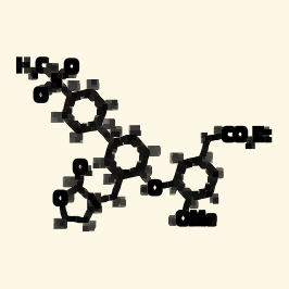 CCOC(=O)Cc1ccc(OC)c(Oc2ccc(-c3ccc(S(C)(=O)=O)cc3)cc2CN2CCOC2=O)c1